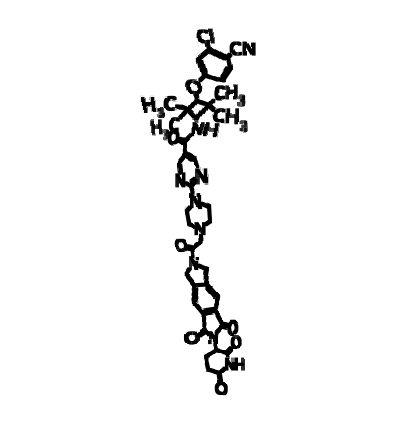 CC1(C)[C@H](NC(=O)c2cnc(N3CCN(CC(=O)N4Cc5cc6c(cc5C4)C(=O)N(C4CCC(=O)NC4=O)C6=O)CC3)nc2)C(C)(C)[C@H]1Oc1ccc(C#N)c(Cl)c1